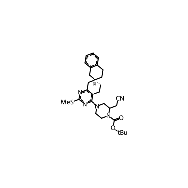 CSc1nc2c(c(N3CCN(C(=O)OC(C)(C)C)C(CC#N)C3)n1)CC[C@]1(CCc3ccccc3C1)C2